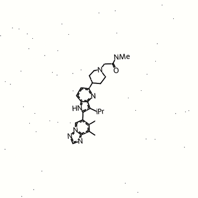 CNC(=O)CN1CCC(c2ccc3[nH]c(-c4cn5ncnc5c(C)c4C)c(C(C)C)c3n2)CC1